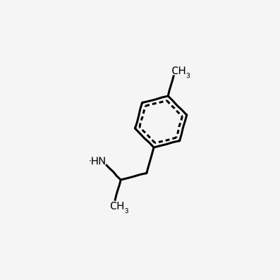 Cc1ccc(CC(C)[NH])cc1